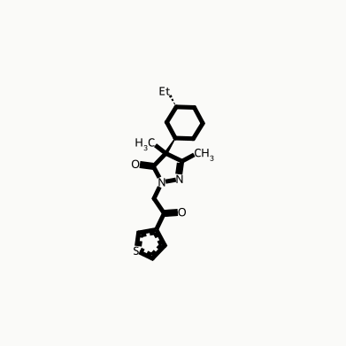 CC[C@@H]1CCC[C@@H](C2(C)C(=O)N(CC(=O)c3ccsc3)N=C2C)C1